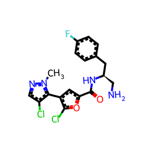 Cn1ncc(Cl)c1-c1cc(C(=O)N[C@H](CN)Cc2ccc(F)cc2)oc1Cl